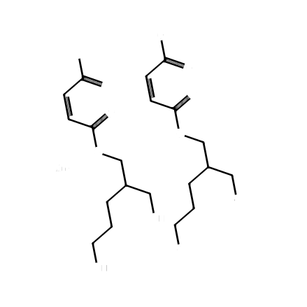 CCCCC(CC)COC(=O)/C=C\C(=O)[O-].CCCCC(CC)COC(=O)/C=C\C(=O)[O-].[Zn+2]